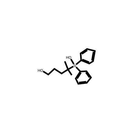 CC(C)(CCCO)[Si](O)(c1ccccc1)c1ccccc1